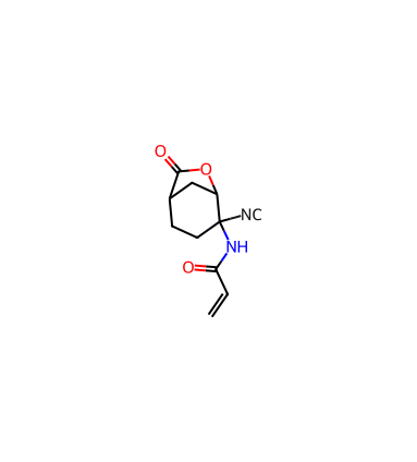 [C-]#[N+]C1(NC(=O)C=C)CCC2CC1OC2=O